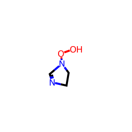 OON1C=NCC1